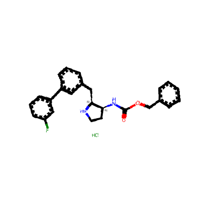 Cl.O=C(N[C@H]1CCN[C@H]1Cc1cccc(-c2cccc(F)c2)c1)OCc1ccccc1